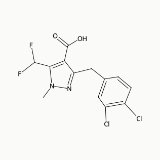 Cn1nc(Cc2ccc(Cl)c(Cl)c2)c(C(=O)O)c1C(F)F